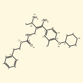 Cc1nc(/C(N)=C(\CNC(=O)OCCc2ccccc2)N(C)N)ccc1OC1CCCCC1